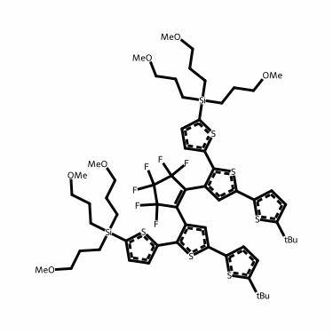 COCCC[Si](CCCOC)(CCCOC)c1ccc(-c2sc(-c3ccc(C(C)(C)C)s3)cc2C2=C(c3cc(-c4ccc(C(C)(C)C)s4)sc3-c3ccc([Si](CCCOC)(CCCOC)CCCOC)s3)C(F)(F)C(F)(F)C2(F)F)s1